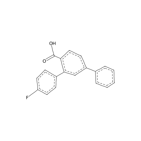 O=C(O)c1ccc(-c2ccccc2)cc1-c1ccc(F)cc1